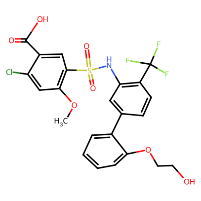 COc1cc(Cl)c(C(=O)O)cc1S(=O)(=O)Nc1cc(-c2ccccc2OCCO)ccc1C(F)(F)F